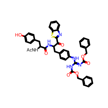 CC(=O)NC(Cc1ccc(O)cc1)C(=O)NC(Cc1ccc(NC(=NC(=O)OCc2ccccc2)NC(=O)OCc2ccccc2)cc1)C(=O)c1nc2ccccc2s1